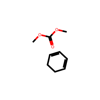 C1=CCCC=C1.COC(=O)OC